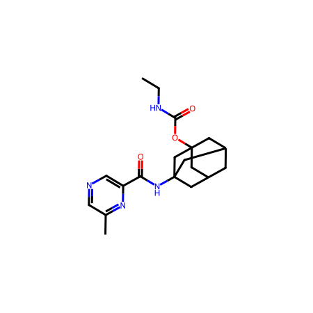 CCNC(=O)OC12CC3CC(CC(NC(=O)c4cncc(C)n4)(C3)C1)C2